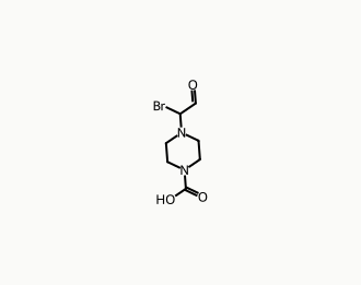 O=CC(Br)N1CCN(C(=O)O)CC1